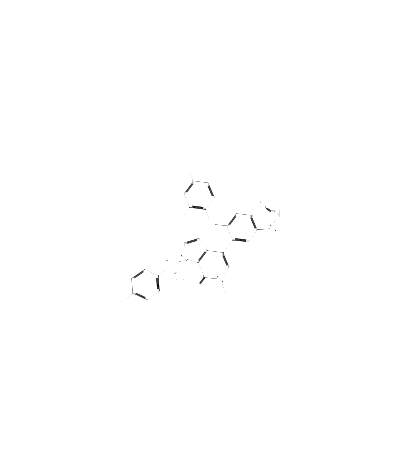 Cc1ccc(S(=O)(=O)n2ccc3c(-c4cc5[nH]nnc5cc4Oc4ccc(F)cc4F)cn(C)c(=O)c32)cc1